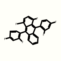 Fc1ccc(-c2c3ccccc3c(-c3ccc(F)cc3F)c3c(F)ccc(F)c23)c(F)c1